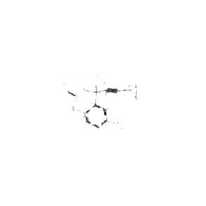 CC(=O)c1ccc2c(c1)C(C#CC1CC1)(C(F)(F)F)OC(=O)N2